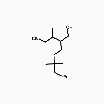 CC(C)CC(C)(C)CCC(CO)C(C)CC(C)(C)C